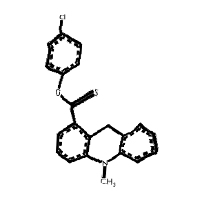 CN1c2ccccc2Cc2c(C(=S)Oc3ccc(Cl)cc3)cccc21